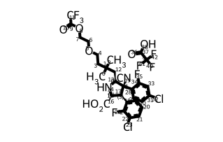 CC(C)(CCOCCOC(=O)C(F)(F)F)C[C@@H]1N[C@@H](C(=O)O)[C@H](c2cccc(Cl)c2F)[C@@]1(C#N)c1ccc(Cl)cc1F.O=C(O)C(F)(F)F